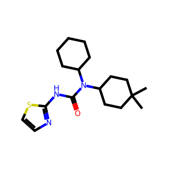 CC1(C)CCC(N(C(=O)Nc2nccs2)C2CCCCC2)CC1